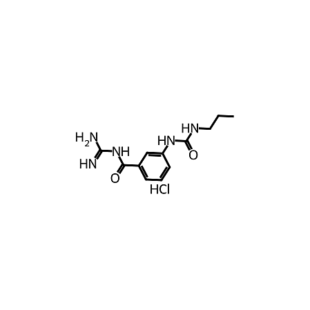 CCCNC(=O)Nc1cccc(C(=O)NC(=N)N)c1.Cl